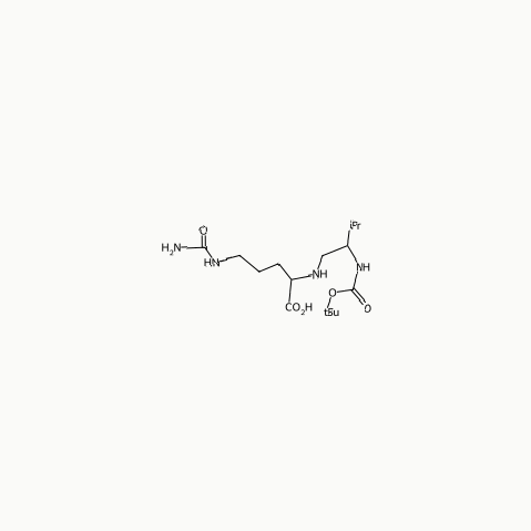 CC(C)C(CNC(CCCNC(N)=O)C(=O)O)NC(=O)OC(C)(C)C